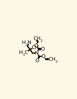 C=COC(=O)N(CC(C)(C)CN)C(=O)OC=C